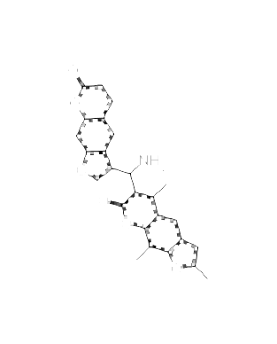 Cc1cc2cc3c(C)c(C(N)c4coc5cc6oc(=O)ccc6cc45)c(=O)oc3c(C)c2o1